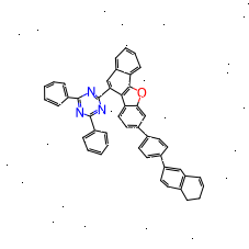 C1=Cc2cc(-c3ccc(-c4ccc5c(c4)oc4c6ccccc6cc(-c6nc(-c7ccccc7)nc(-c7ccccc7)n6)c54)cc3)ccc2CC1